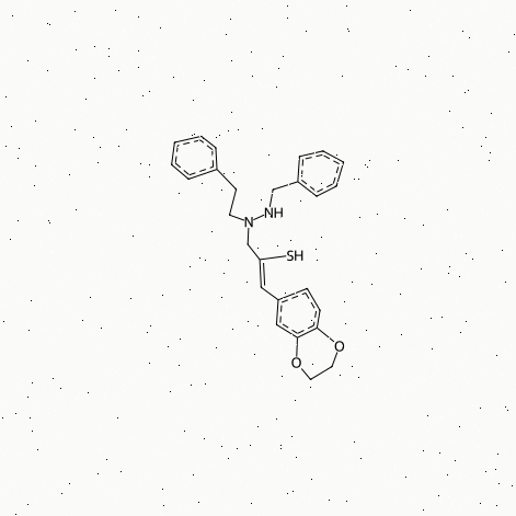 S/C(=C\c1ccc2c(c1)OCCO2)CN(CCc1ccccc1)NCc1ccccc1